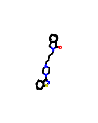 O=C1c2ccccc2CN1CCCCN1CCN(c2nsc3ccccc23)CC1